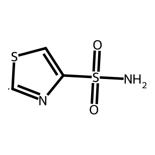 NS(=O)(=O)c1cs[c]n1